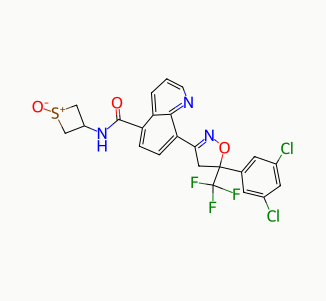 O=C(NC1C[S+]([O-])C1)c1ccc(C2=NOC(c3cc(Cl)cc(Cl)c3)(C(F)(F)F)C2)c2ncccc12